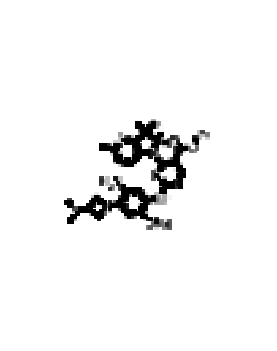 [2H]C1([2H])N(c2nc(Nc3cc(N)c(N4CC(N(C)C)C4)cc3OC)ncc2C(=O)OC(C)C)c2ccc(C)nc2C1(C)C